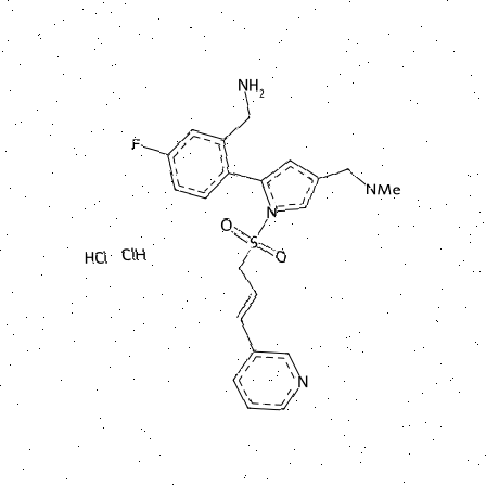 CNCc1cc(-c2ccc(F)cc2CN)n(S(=O)(=O)CC=Cc2cccnc2)c1.Cl.Cl